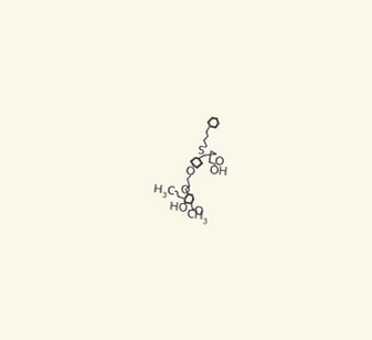 CCCc1c(OCCCOc2ccc(C(SCCCCc3ccccc3)C3(CC(=O)O)CC3)cc2)ccc(C(C)=O)c1O